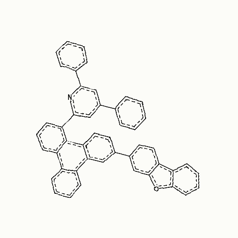 c1ccc(-c2cc(-c3ccccc3)nc(-c3cccc4c5ccccc5c5cc(-c6ccc7c(c6)oc6ccccc67)ccc5c34)c2)cc1